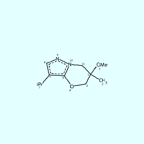 COC1(C)COc2c(C(C)C)cnn2C1